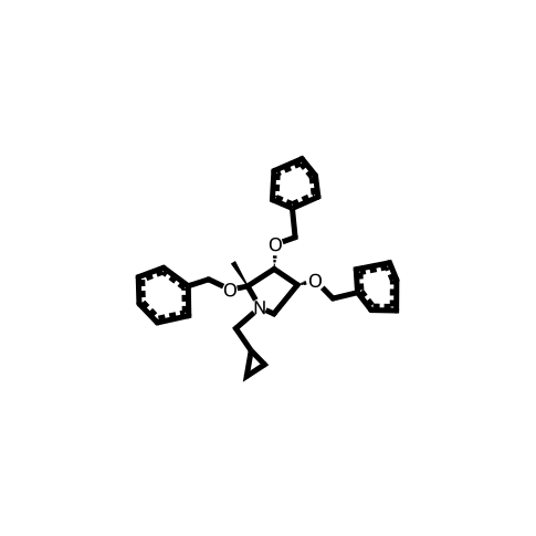 C[C@@]1(OCc2ccccc2)[C@H](OCc2ccccc2)[C@H](OCc2ccccc2)CN1CC1CC1